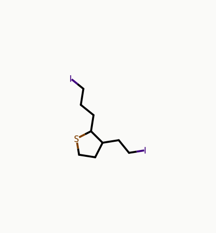 ICCCC1SCCC1CCI